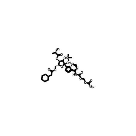 CC(C)[C@H](C)C(=O)O[C@H]1[C@@H](O[Si](C)(C)C)[C@](C#N)(c2ccc3c(NC(=O)OCOC(=O)C(C)(C)C)ncnn23)O[C@@H]1COC(=O)CC1CCCCC1